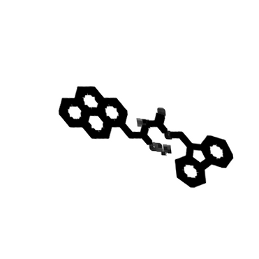 O=C(NC(Cc1ccc2ccc3cccc4ccc1c2c34)C(=O)O)OCC1c2ccccc2-c2ccccc21